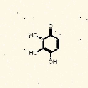 O=C1C=CC(O)=C(O)C1O